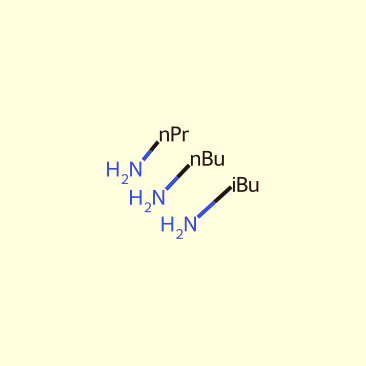 CCC(C)N.CCCCN.CCCN